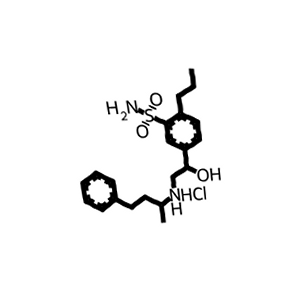 CCCc1ccc(C(O)CNC(C)CCc2ccccc2)cc1S(N)(=O)=O.Cl